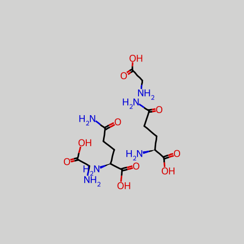 NC(=O)CC[C@H](N)C(=O)O.NC(=O)CC[C@H](N)C(=O)O.NCC(=O)O.NCC(=O)O